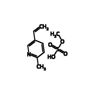 C=Cc1ccc(C)nc1.COS(=O)(=O)O